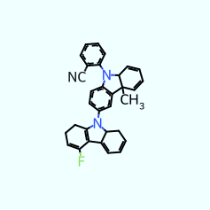 CC12C=CC=CC1N(c1ccccc1C#N)c1ccc(N3C4=C(C(F)=CCC4)C4=CC=CCC43)cc12